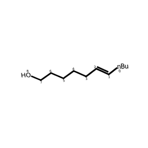 CCCCC=CCCCCCO